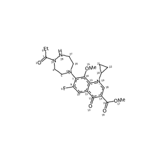 CCC(=O)N1CCN(c2c(F)cc3c(=O)c(C(=O)OC)cn(C4CC4)c3c2OC)CCN1